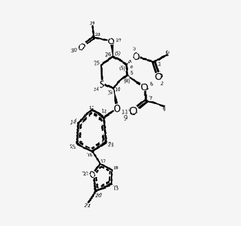 CC(=O)O[C@@H]1[C@@H](OC(C)=O)[C@@H](Oc2cccc(-c3ccc(C)o3)c2)SC[C@H]1OC(C)=O